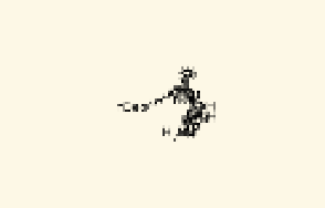 CCCCCCCCCCCCCCCCCCO[C@H](C)[C@H](COP(=O)(O)OC[C@H]1O[C@@](C#N)(c2ccc3c(N)ncnn23)[C@H](O)[C@@H]1O)OCc1ccccc1